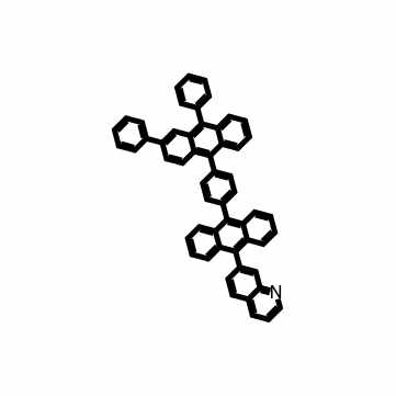 c1ccc(-c2ccc3c(-c4ccc(-c5c6ccccc6c(-c6ccc7cccnc7c6)c6ccccc56)cc4)c4ccccc4c(-c4ccccc4)c3c2)cc1